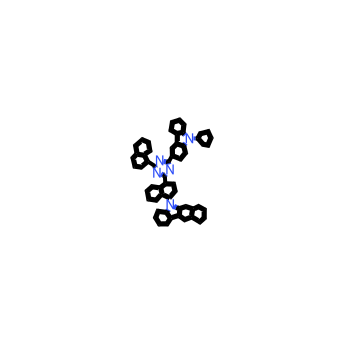 c1ccc(-n2c3ccccc3c3cc(-c4nc(-c5cccc6ccccc56)nc(-c5ccc(-n6c7ccccc7c7cc8ccccc8cc76)c6ccccc56)n4)ccc32)cc1